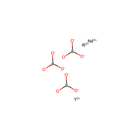 [Al+3].[Nd+3].[O-]B([O-])[O-].[O-]B([O-])[O-].[O-]B([O-])[O-].[Y+3]